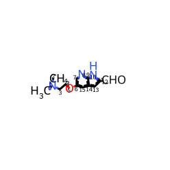 CN(C)CCOc1cnc2[nH]c(C=O)cc2c1